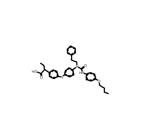 CCCCOc1ccc(NC(=O)N(CCc2ccccc2)c2ccc(Sc3ccc(C(CC)C(=O)O)cc3)cc2)cc1